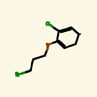 ClC1=C[CH]CC=C1SCCCBr